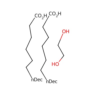 CCCCCCCCCCCCCCCC(=O)O.CCCCCCCCCCCCCCCC(=O)O.OCCO